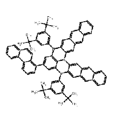 CC(C)(C)c1cc(N2c3cc4cc5ccccc5cc4cc3B3c4cc5cc6ccccc6cc5cc4N(c4cc(C(C)(C)C)cc(C(C)(C)C)c4)c4cc(-c5cccc6c5ccc5ccccc56)cc2c43)cc(C(C)(C)C)c1